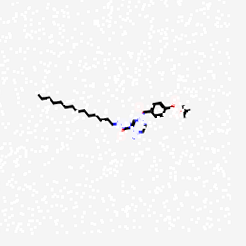 CCCCCCCCCCCCCCNC(=O)C1=CN(C(=O)c2ccc(C(=O)OC(C)(C)C)cc2)CCN1C